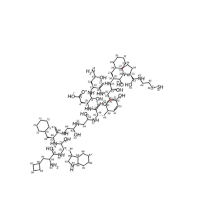 C=C(N[C@@H](CC(=O)O)C(O)N[C@@H](CC(N)O)C(=C)N[C@@H](C(C)O)C(O)N[C@@H](CC1CCCCC1)C(O)N1CCC[C@H]1C(O)NCCSS)[C@H](CC1C=CC(O)CC1)NC(O)CNC(O)CNC(=C)[C@H](CC1CCCCC1)NC(O)[C@H](CC1CNC2CCCCC12)NC(O)C(N)CC1CCC1